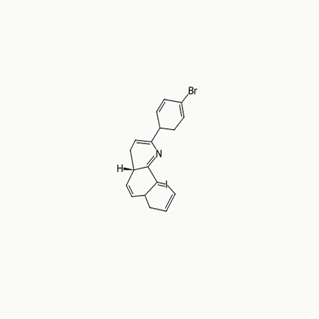 BrC1=CCC(C2=CC[C@H]3C=CC4CC=CI=C4C3=N2)C=C1